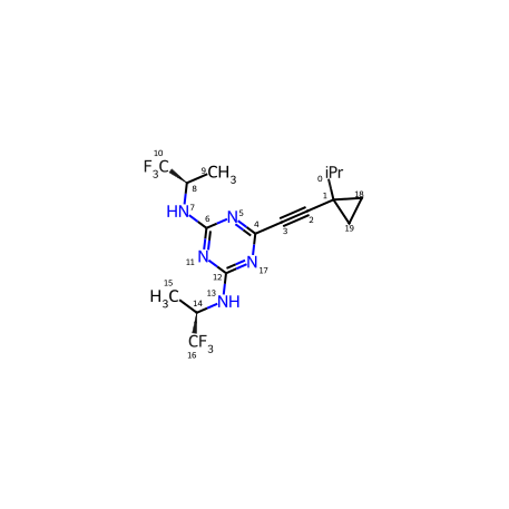 CC(C)C1(C#Cc2nc(N[C@H](C)C(F)(F)F)nc(N[C@H](C)C(F)(F)F)n2)CC1